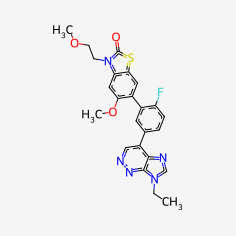 CCn1cnc2c(-c3ccc(F)c(-c4cc5sc(=O)n(CCOC)c5cc4OC)c3)cnnc21